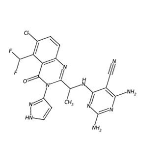 CC(Nc1nc(N)nc(N)c1C#N)c1nc2ccc(Cl)c(C(F)F)c2c(=O)n1-c1cc[nH]n1